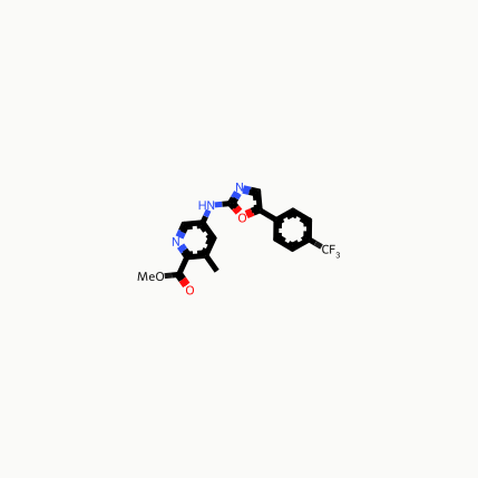 COC(=O)c1ncc(Nc2ncc(-c3ccc(C(F)(F)F)cc3)o2)cc1C